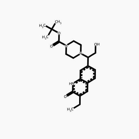 CCc1cc2ccc(C(CO)N3CCN(C(=O)OC(C)(C)C)CC3)cc2[nH]c1=O